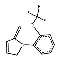 O=C1C=CCN1c1ccccc1OC(F)(F)F